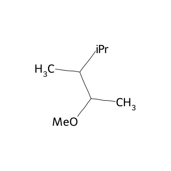 COC(C)C(C)C(C)C